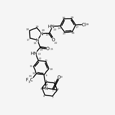 O=C1C2CCC(CC2)N1c1ccc(NC(=O)N2CCCN2C(=O)Nc2ccc(Cl)cc2)cc1C(F)(F)F